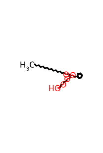 CCCCCCCCCCCCCCCCOCC(COCCOCCO)OCc1ccccc1